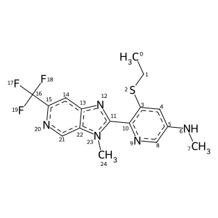 CCSc1cc(NC)cnc1-c1nc2cc(C(F)(F)F)ncc2n1C